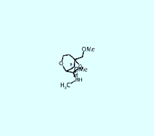 CBC1OC2(COC)CCOC1[C@H]2OC